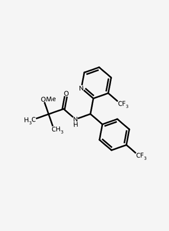 COC(C)(C)C(=O)NC(c1ccc(C(F)(F)F)cc1)c1ncccc1C(F)(F)F